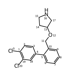 Clc1ccc(-c2ccccc2COC2CCNC2)cc1Cl